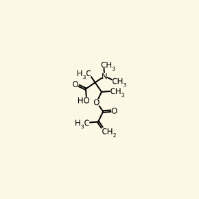 C=C(C)C(=O)OC(C)C(C)(C(=O)O)N(C)C